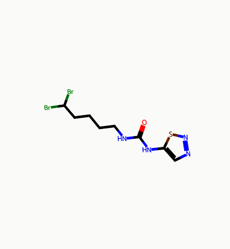 O=C(NCCCCC(Br)Br)Nc1cnns1